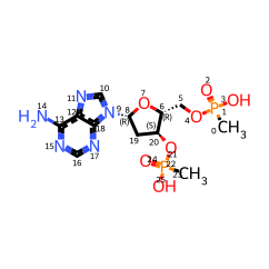 CP(=O)(O)OC[C@H]1O[C@@H](n2cnc3c(N)ncnc32)C[C@@H]1OP(C)(=O)O